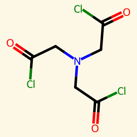 O=C(Cl)CN(CC(=O)Cl)CC(=O)Cl